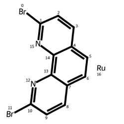 Brc1ccc2ccc3ccc(Br)nc3c2n1.[Ru]